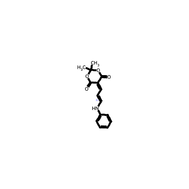 CC1(C)OC(=O)C(=C/C=C/Nc2ccccc2)C(=O)O1